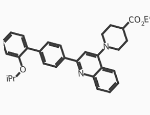 CCOC(=O)C1CCN(c2cc(-c3ccc(-c4ccccc4OC(C)C)cc3)nc3ccccc23)CC1